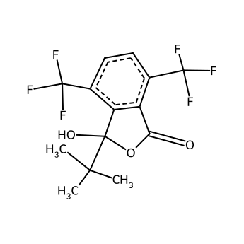 CC(C)(C)C1(O)OC(=O)c2c(C(F)(F)F)ccc(C(F)(F)F)c21